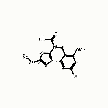 COc1cc(O)ccc1CN(C(=O)C(F)(F)F)c1ncc(SC#N)s1